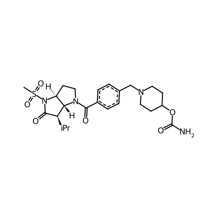 CC(C)[C@H]1C(=O)N(S(C)(=O)=O)[C@H]2CCN(C(=O)c3ccc(CN4CCC(OC(N)=O)CC4)cc3)[C@H]12